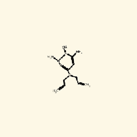 C=CCN(CC=C)C1=NN(N)N(O)C(N)=C1